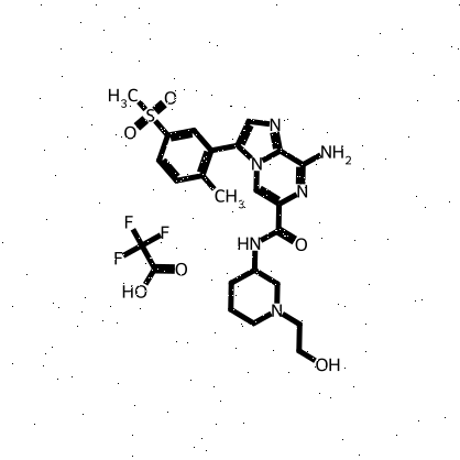 Cc1ccc(S(C)(=O)=O)cc1-c1cnc2c(N)nc(C(=O)NC3CCCN(CCO)C3)cn12.O=C(O)C(F)(F)F